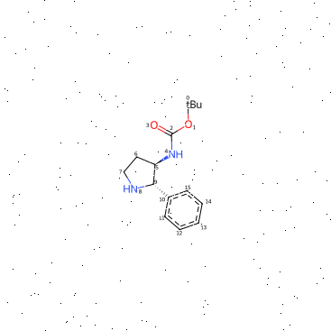 CC(C)(C)OC(=O)N[C@@H]1CCN[C@H]1c1ccccc1